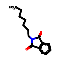 O=C(O)CCCCCCN1C(=O)c2ccccc2C1=O